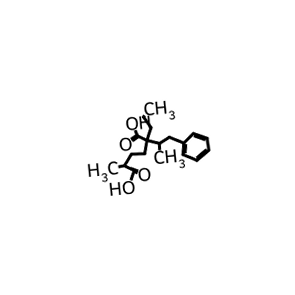 CCCC(CCC(C)C(=O)O)(C(=O)O)C(C)Cc1ccccc1